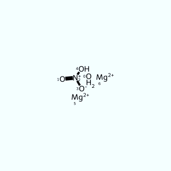 O.O=[N+]([O-])O.[Mg+2].[Mg+2]